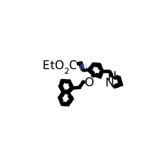 CCOC(=O)/C=C/c1ccc(Cn2cccn2)cc1OCCc1cccc2ccccc12